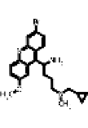 COc1ccc2nc3cc(Br)ccc3c(C(N)CCCN(C)CC3CC3)c2c1